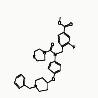 COC(=O)c1ccc(CN(C(=O)N2CCSCC2)c2ccc(OC3CCN(Cc4ccccc4)CC3)cc2)c(F)c1